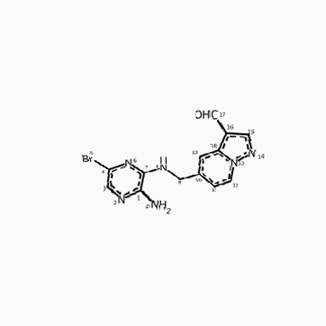 Nc1ncc(Br)nc1NCc1ccn2ncc(C=O)c2c1